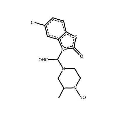 CC1CN(C(C=O)n2c(=O)sc3ccc(Cl)cc32)CCN1N=O